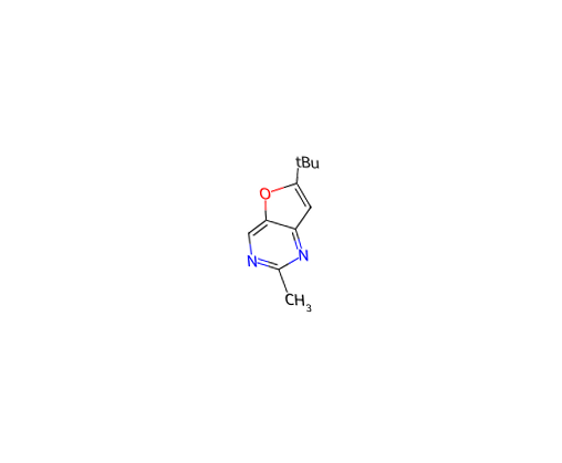 Cc1ncc2oc(C(C)(C)C)cc2n1